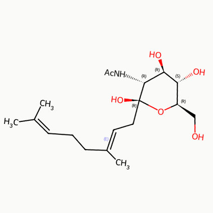 CC(=O)N[C@@H]1[C@@H](O)[C@H](O)[C@@H](CO)O[C@]1(O)C/C=C(\C)CCC=C(C)C